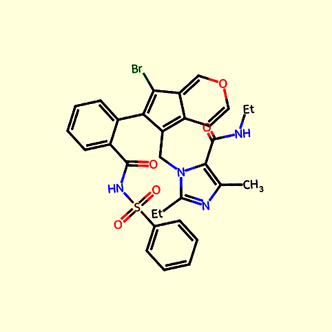 CCNC(=O)c1c(C)nc(CC)n1Cc1c2ccocc-2c(Br)c1-c1ccccc1C(=O)NS(=O)(=O)c1ccccc1